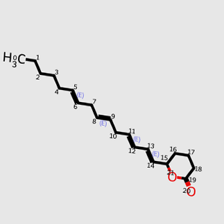 CCCCC/C=C/C/C=C/C/C=C/C=C/C1CCCC(=O)O1